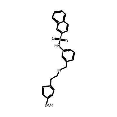 COc1ccc(CCNCc2cccc(NS(=O)(=O)c3ccc4ccccc4c3)c2)cc1